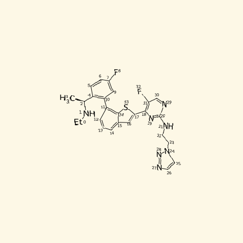 CCN[C@@H](C)c1ccc(F)cc1-c1cccc2cc(-c3nc(NCCn4ccnn4)ncc3F)sc12